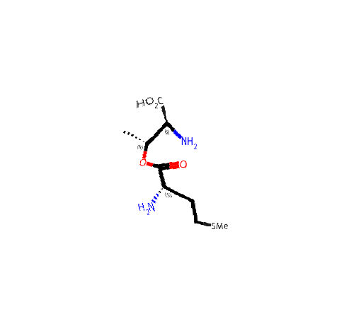 CSCC[C@H](N)C(=O)O[C@H](C)[C@H](N)C(=O)O